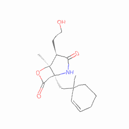 CC1(C[C@@]23NC(=O)[C@H](CCO)[C@]2(C)OC3=O)C=CCCC1